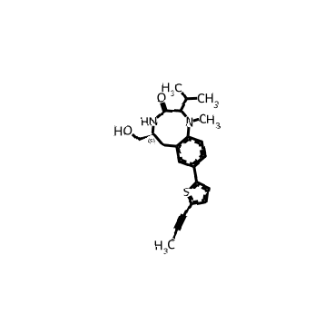 CC#Cc1ccc(-c2ccc3c(c2)C[C@@H](CO)NC(=O)C(C(C)C)N3C)s1